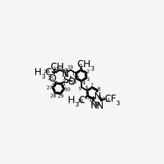 Cc1ccc(Cc2ccn3c(C(F)(F)F)nnc3c2C)cc1CN1CC(C)(C)Oc2ccccc2[S+]1[O-]